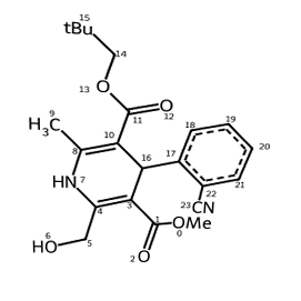 COC(=O)C1=C(CO)NC(C)=C(C(=O)OCC(C)(C)C)C1c1ccccc1C#N